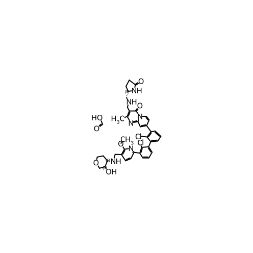 COc1nc(-c2cccc(-c3cccc(-c4ccn5c(=O)c(CNC[C@@H]6CCC(=O)N6)c(C)nc5c4)c3Cl)c2Cl)ccc1CN[C@H]1CCOC[C@@H]1O.O=CO